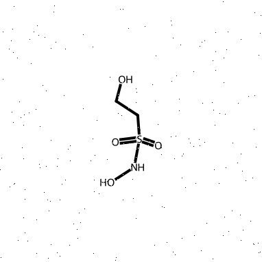 O=S(=O)(CCO)NO